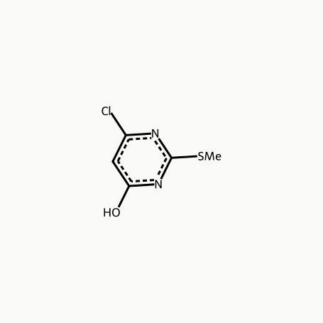 CSc1nc(O)cc(Cl)n1